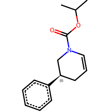 CC(C)OC(=O)N1C=CC[C@@H](c2ccccc2)C1